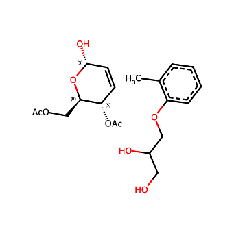 CC(=O)OC[C@H]1O[C@H](O)C=C[C@@H]1OC(C)=O.Cc1ccccc1OCC(O)CO